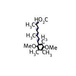 COc1c(C)c(C)c(OC)c(/C=C/C(C)=C/C=C/C(C)=C/C(=O)O)c1C